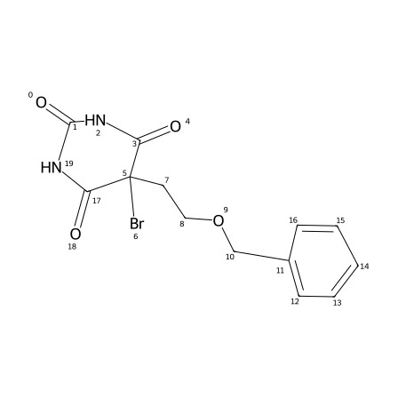 O=C1NC(=O)C(Br)(CCOCc2ccccc2)C(=O)N1